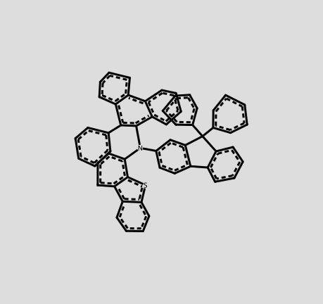 c1ccc(-c2c(N(c3ccc4c(c3)C(c3ccccc3)(c3ccccc3)c3ccccc3-4)c3cccc4c3sc3ccccc34)c3ccccc3c3ccccc23)cc1